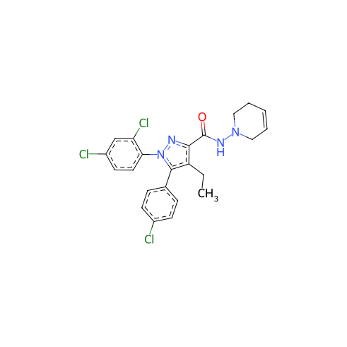 CCc1c(C(=O)NN2CC=CCC2)nn(-c2ccc(Cl)cc2Cl)c1-c1ccc(Cl)cc1